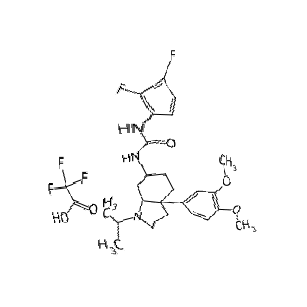 COc1ccc(C23CCC(NC(=O)Nc4ccc(F)cc4F)CC2N(C(C)C)CC3)cc1OC.O=C(O)C(F)(F)F